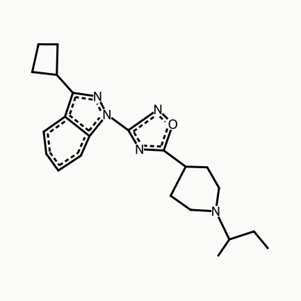 CCC(C)N1CCC(c2nc(-n3nc(C4CCC4)c4ccccc43)no2)CC1